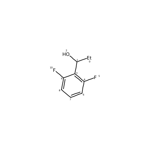 CCC(O)c1c(F)cccc1F